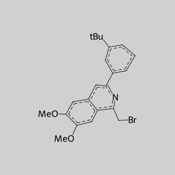 COc1cc2cc(-c3cccc(C(C)(C)C)c3)nc(CBr)c2cc1OC